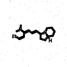 CC\C=C/C(=C\C=C\C1CC[C@H]2CCCCN12)N(C)C